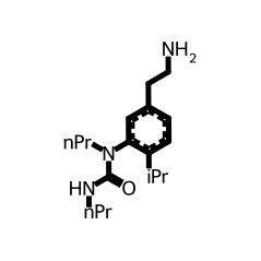 CCCNC(=O)N(CCC)c1cc(CCN)ccc1C(C)C